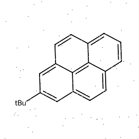 CC(C)(C)c1cc2ccc3[c]ccc4ccc(c1)c2c34